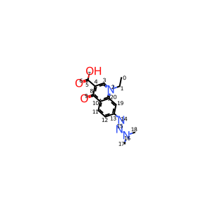 CCn1cc(C(=O)O)c(=O)c2ccc(/N=N/N(C)C)cc21